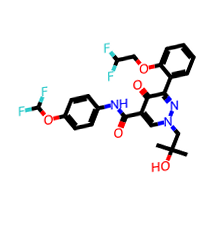 CC(C)(O)Cn1cc(C(=O)Nc2ccc(OC(F)F)cc2)c(=O)c(-c2ccccc2OCC(F)F)n1